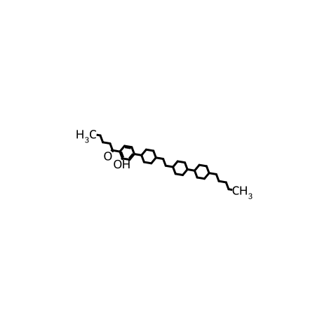 CCCCCC1CCC(C2CCC(CCC3CCC(c4ccc(C(=O)CCCC)c(O)c4)CC3)CC2)CC1